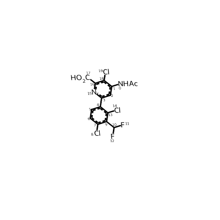 CC(=O)Nc1cc(-c2ccc(Cl)c(C(F)F)c2Cl)nc(C(=O)O)c1Cl